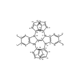 Cc1cc2c(cc1C)N(c1ccccn1)C(=C1N(c3ccccn3)c3cc(C)c(C)cc3N1c1ccccn1)N2c1ccccn1